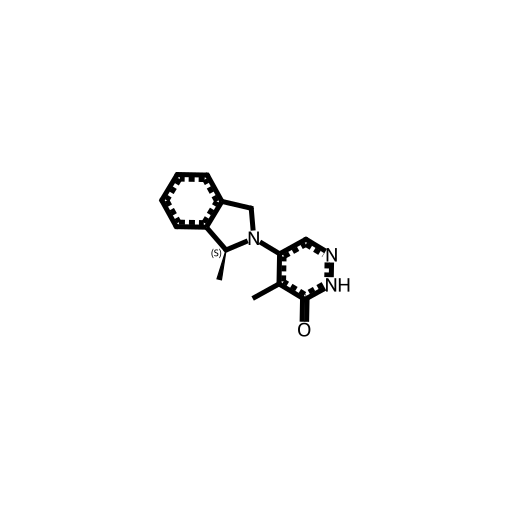 Cc1c(N2Cc3ccccc3[C@@H]2C)cn[nH]c1=O